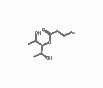 CC(=O)CCC(=O)ON(C(C)O)C(C)O